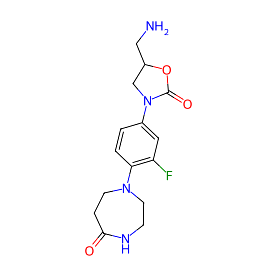 NCC1CN(c2ccc(N3CCNC(=O)CC3)c(F)c2)C(=O)O1